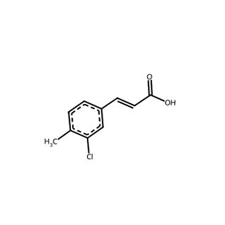 Cc1ccc(C=CC(=O)O)cc1Cl